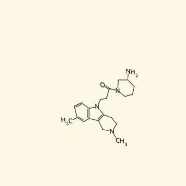 Cc1ccc2c(c1)c1c(n2CCC(=O)N2CCCC(N)C2)CCN(C)C1